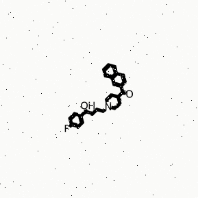 O=C(c1ccc2ccccc2c1)C1CCN(CCCC(O)c2ccc(F)cc2)CC1